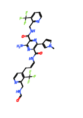 Cn1ccc(-c2nc(C(=O)NCc3ncccc3C(F)(F)F)c(N)nc2C(=O)N/C=C\Cc2ccnc(CNC=O)c2C(F)(F)F)c1